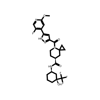 COc1cc(-c2cc(C(=O)N3CC[C@H](C(=O)N[C@@H]4CCC[C@@](O)(C(F)(F)F)C4)CC34CC4)n[nH]2)c(F)cn1